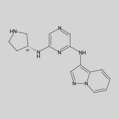 c1ccn2ncc(Nc3cncc(N[C@@H]4CCNC4)n3)c2c1